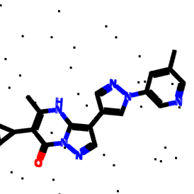 Cc1cncc(-n2cc(-c3cnn4c(=O)c(C5CC5)c(C)[nH]c34)cn2)c1